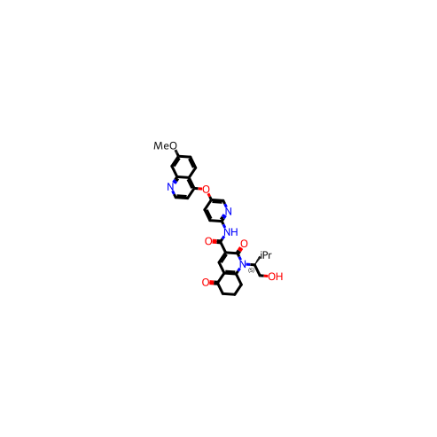 COc1ccc2c(Oc3ccc(NC(=O)c4cc5c(n([C@H](CO)C(C)C)c4=O)CCCC5=O)nc3)ccnc2c1